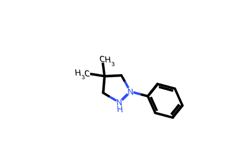 CC1(C)CNN(c2ccccc2)C1